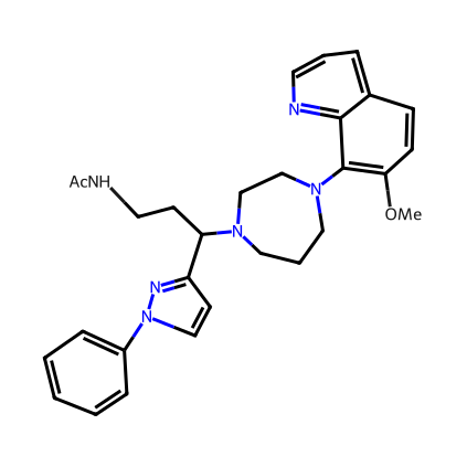 COc1ccc2cccnc2c1N1CCCN(C(CCNC(C)=O)c2ccn(-c3ccccc3)n2)CC1